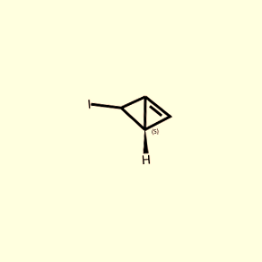 IC1C2=C[C@@H]21